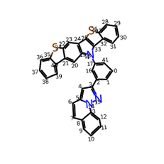 c1cc(-c2cc3ccc4ccccc4n3n2)cc(-n2c3cc4c(cc3c3sc5ccccc5c32)sc2ccccc24)c1